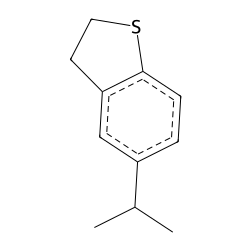 CC(C)c1ccc2c(c1)CCS2